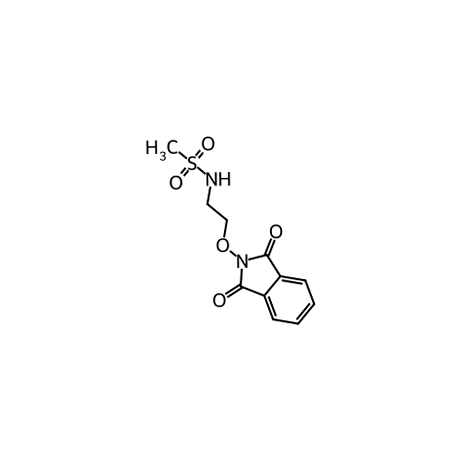 CS(=O)(=O)NCCON1C(=O)c2ccccc2C1=O